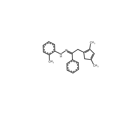 CC1=CC(C)=C(CC(=NNc2ccccc2C)c2ccccc2)C1